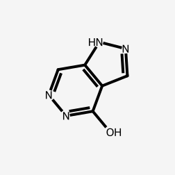 Oc1nncc2[nH]ncc12